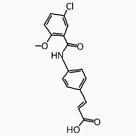 COc1ccc(Cl)cc1C(=O)Nc1ccc(C=CC(=O)O)cc1